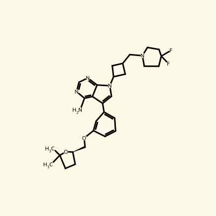 CC1(C)CC[C@H](COc2cccc(-c3cn(C4CC(CN5CCC(F)(F)CC5)C4)c4ncnc(N)c34)c2)O1